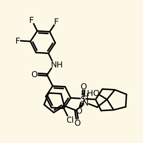 O=C(NCC1(O)C2CCC1CC(S(=O)(=O)c1cc(C(=O)Nc3cc(F)c(F)c(F)c3)ccc1Cl)C2)C1=CCCC1